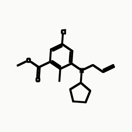 C=CCN(c1cc(Cl)cc(C(=O)OC)c1C)C1CCCC1